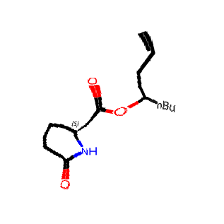 C=CCC(CCCC)OC(=O)[C@@H]1CCC(=O)N1